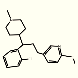 COc1ccc(CCC(c2ccccc2Cl)C2CCN(C)CC2)cn1